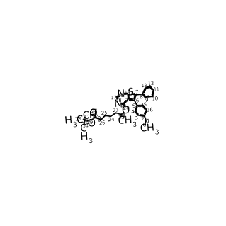 CCc1ccc(-c2c(-c3ccccc3)sc3ncnc(O[C@H](C)CCCCC(=O)OC(C)(C)C)c23)cc1